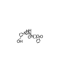 O=C1OC2(CCN(C(=O)Nc3cn(-c4cccc(CCO)c4)cn3)CC2)c2ccccc21